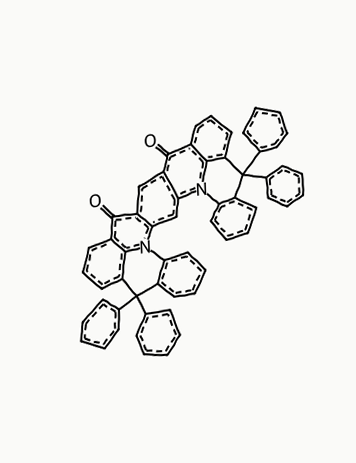 O=c1c2cc3c(=O)c4cccc5c4n(c3cc2n2c3c(cccc13)C(c1ccccc1)(c1ccccc1)c1ccccc1-2)-c1ccccc1C5(c1ccccc1)c1ccccc1